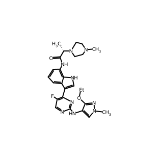 CCOc1nn(C)cc1Nc1ncc(F)c(-c2c[nH]c3c(NC(=O)[C@H](C)N4CCN(C)CC4)cccc23)n1